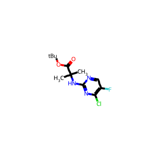 CC(C)(C)OC(=O)C(C)(C)Nc1ncc(F)c(Cl)n1